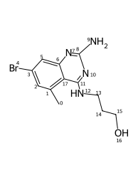 Cc1cc(Br)cc2nc(N)nc(NCCCO)c12